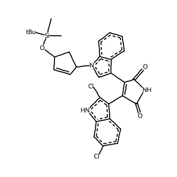 CC(C)(C)[Si](C)(C)OC1C=CC(n2cc(C3=C(c4c(Cl)[nH]c5cc(Cl)ccc45)C(=O)NC3=O)c3ccccc32)C1